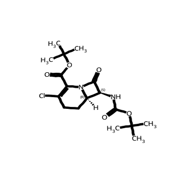 CC(C)(C)OC(=O)N[C@@H]1C(=O)N2C(C(=O)OC(C)(C)C)=C(Cl)CC[C@H]12